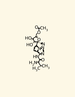 CC(=O)OC[C@H]1O[C@@](C#N)(c2ccc3c(NC(=O)[C@@H](N)C(C)C)ncnn23)[C@H](O)[C@@H]1O